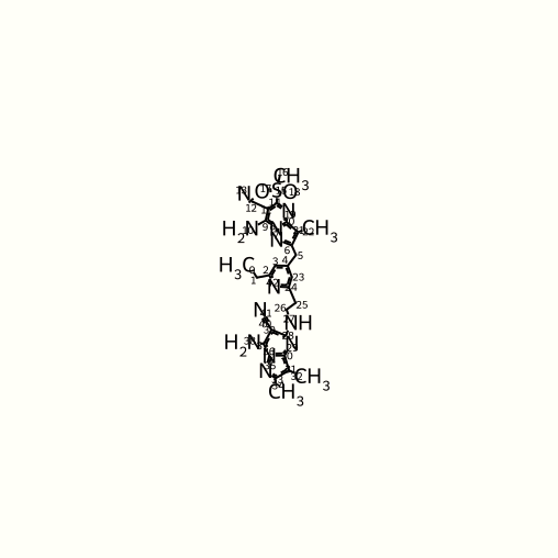 CCc1cc(Cc2nn3c(N)c(C#N)c(S(C)(=O)=O)nc3c2C)cc(CCNc2nc3c(C)c(C)nn3c(N)c2C#N)n1